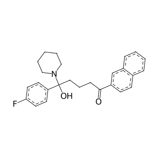 O=C(CCCC(O)(c1ccc(F)cc1)N1CCCCC1)c1ccc2ccccc2c1